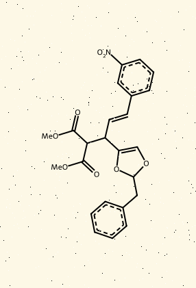 COC(=O)C(C(=O)OC)C(C=Cc1cccc([N+](=O)[O-])c1)C1=COC(Cc2ccccc2)O1